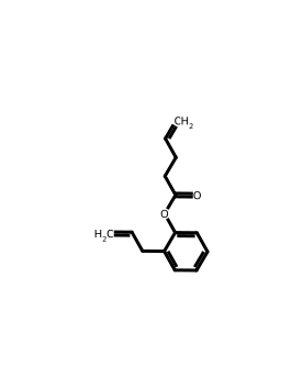 C=CCCC(=O)Oc1ccccc1CC=C